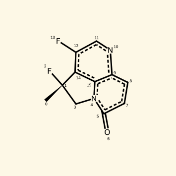 C[C@]1(F)Cn2c(=O)ccc3ncc(F)c1c32